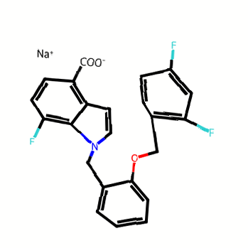 O=C([O-])c1ccc(F)c2c1ccn2Cc1ccccc1OCc1ccc(F)cc1F.[Na+]